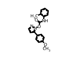 COc1ccc(-c2ccnn2OC(=O)Nc2ccccc2C)cc1